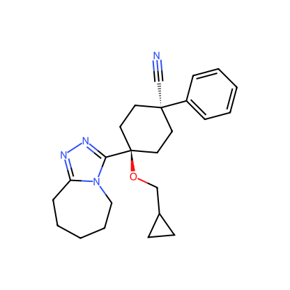 N#C[C@]1(c2ccccc2)CC[C@](OCC2CC2)(c2nnc3n2CCCCC3)CC1